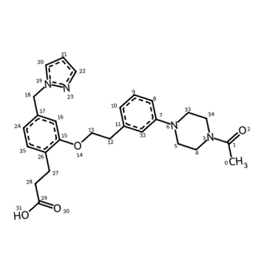 CC(=O)N1CCN(c2cccc(CCOc3cc(Cn4cccn4)ccc3CCC(=O)O)c2)CC1